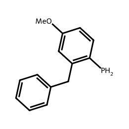 COc1ccc(P)c(Cc2ccccc2)c1